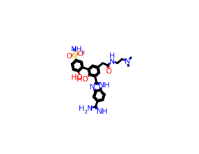 CN(C)CCNC(=O)Cc1cc(-c2nc3cc(C(=N)N)ccc3[nH]2)c(O)c(-c2cc(S(N)(=O)=O)ccc2O)c1